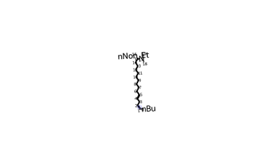 CCCC/C=C\CC=CCCCCCCCCCC(CCCCCCCCC)N(C)CC